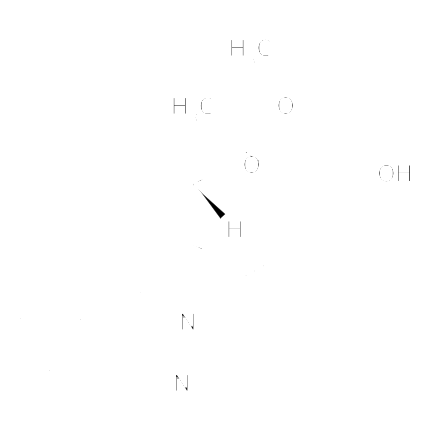 COC1(C)CCC2N(CC3CC3)N3CCC24c2c(ccc(O)c2O[C@@H]14)C3